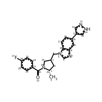 C[C@H]1CC(Cn2cnc3cc(-c4cn[nH]c4)ccc32)CN1C(=O)c1ccc(F)cc1